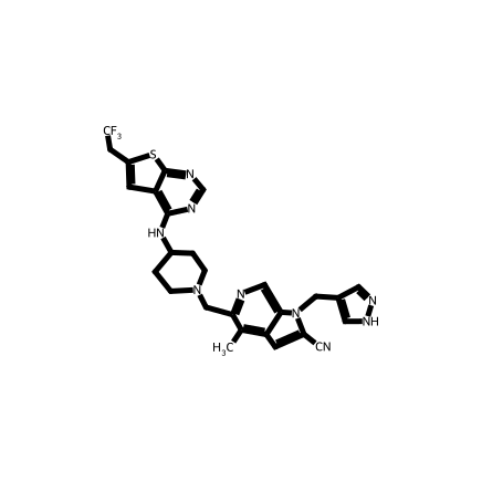 Cc1c(CN2CCC(Nc3ncnc4sc(CC(F)(F)F)cc34)CC2)ncc2c1cc(C#N)n2Cc1cn[nH]c1